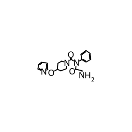 NCC(=O)N(C(=O)N1CCC(Oc2ccccn2)CC1)c1ccccc1